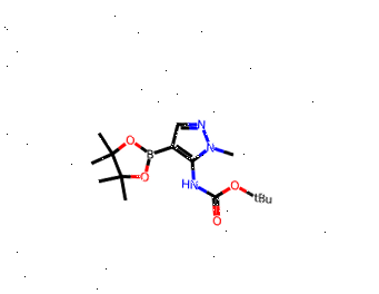 Cn1ncc(B2OC(C)(C)C(C)(C)O2)c1NC(=O)OC(C)(C)C